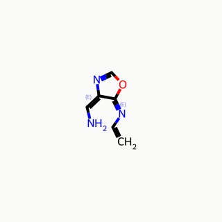 C=C/N=C1/OC=N/C1=C/N